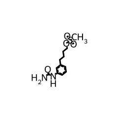 CS(=O)(=O)OCCCCc1cccc(NC(N)=O)c1